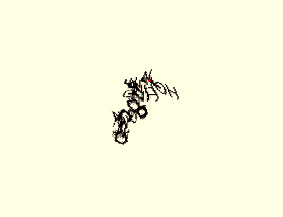 CCc1cc(NC(=O)N[C@H]2CC[C@@H](Oc3ccc4nnc(N5[C@H](C)CCC[C@@H]5C)n4c3)c3ccccc32)n(-c2cnn(CCO)c2)n1